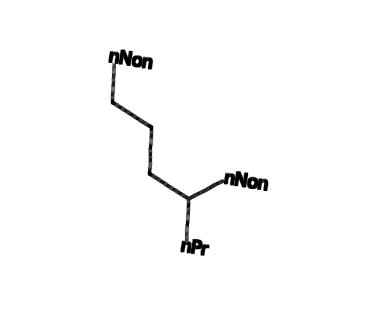 [CH2]CCC(CCCCCCCCC)CCCCCCCCCCCC